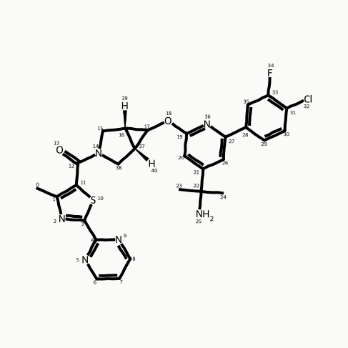 Cc1nc(-c2ncccn2)sc1C(=O)N1C[C@@H]2C(Oc3cc(C(C)(C)N)cc(-c4ccc(Cl)c(F)c4)n3)[C@@H]2C1